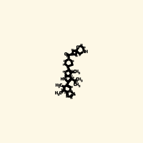 Cc1c(-c2[nH]c3sc(C4CCN(C(=O)C5CC6(CNCCO6)C5)CC4)c(C)c3c2C(C)C)cn2ncnc2c1C